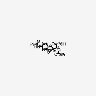 CC(C)C(=O)Nc1ccn(C2O[C@H](CO)[C@@H](OC(=O)C(C)C)[C@]2(F)Cl)c(=O)n1